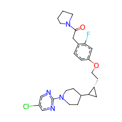 O=C(Cc1ccc(OCC[C@@H]2CC2C2CCN(c3ncc(Cl)cn3)CC2)cc1F)N1CCCC1